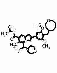 C=C(c1c(C)c(C(=O)OC(C)C)cc2cc(-c3cc(OC)c(CC4CCCCOCC4)c(OC)c3)cn12)N1CCOCC1